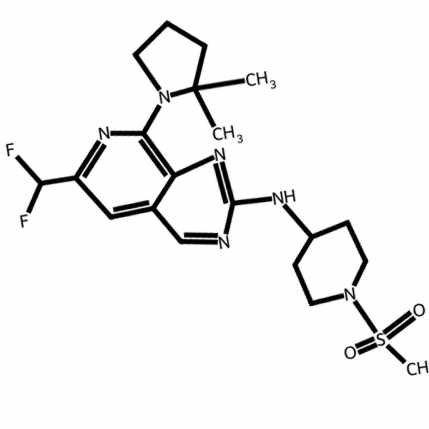 CC1(C)CCCN1c1nc(C(F)F)cc2cnc(NC3CCN(S(C)(=O)=O)CC3)nc12